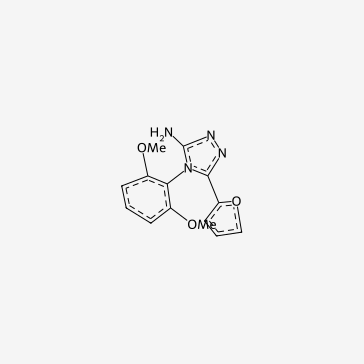 COc1cccc(OC)c1-n1c(N)nnc1-c1ccco1